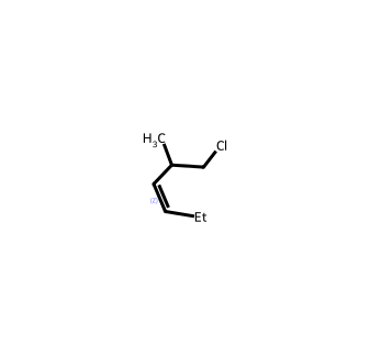 CC/C=C\C(C)CCl